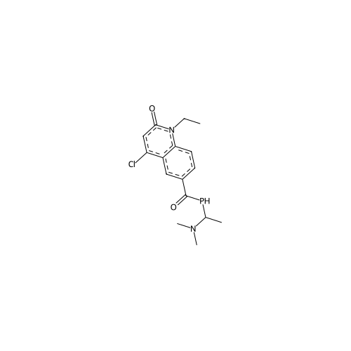 CCn1c(=O)cc(Cl)c2cc(C(=O)PC(C)N(C)C)ccc21